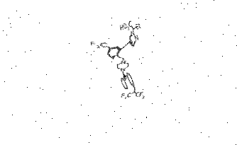 CCC(C(=O)O)n1cc(-c2cc(C(F)(F)F)ccc2CN2CCN(C(=O)OC(C(F)(F)F)C(F)(F)F)CC2)cn1